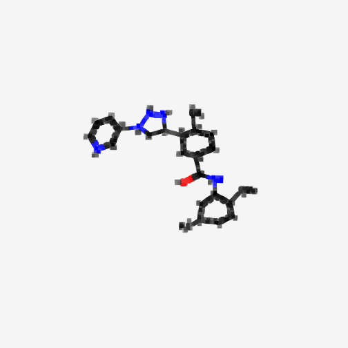 COc1ccc(C(F)(F)F)cc1NC(=O)c1ccc(C)c(C2CN(c3cccnc3)N=N2)c1